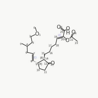 COCCC(C)C/C=C/[C@H]1CCC(=O)[C@@H]1CCCC/C=C(\OC(C)=O)C(=O)O